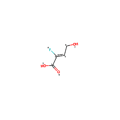 O=C(O)C(F)=CCO